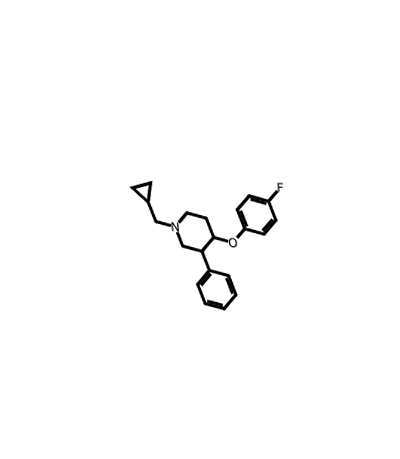 Fc1ccc(OC2CCN(CC3CC3)CC2c2ccccc2)cc1